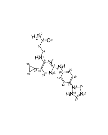 NC(=O)CCNc1nc(Nc2ccc(N3CN=CN3)cc2)ncc1C1CC1